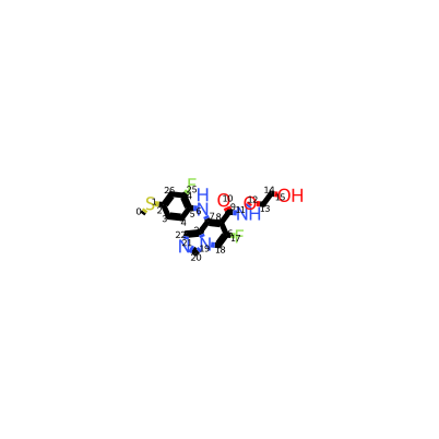 CSc1ccc(Nc2c(C(=O)NOCCO)c(F)cn3cncc23)c(F)c1